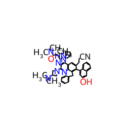 CC(C(=O)N(C)C)c1nc2c(N3CC(N(C)C)C3)nc3c(Cc4ccccc4)c(-c4cc(O)cc5ccccc45)c(CCC#N)cc3c2n1C1C2CNC1C2